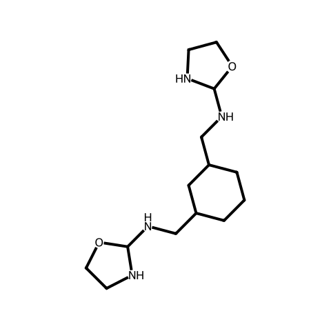 C1CC(CNC2NCCO2)CC(CNC2NCCO2)C1